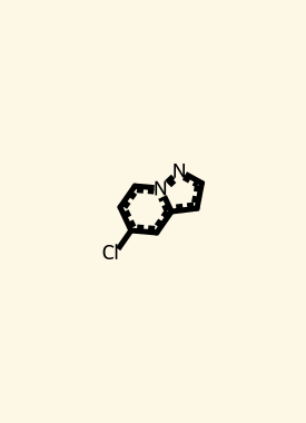 Clc1ccn2nccc2c1